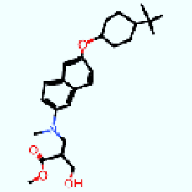 COC(=O)C(CO)CN(C)c1ccc2cc(OC3CCC(C(C)(C)C)CC3)ccc2c1